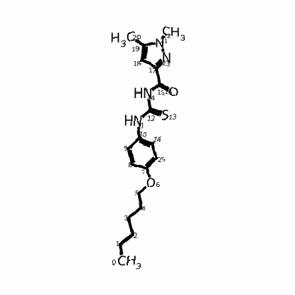 CCCCCCOc1ccc(NC(=S)NC(=O)c2cc(C)n(C)n2)cc1